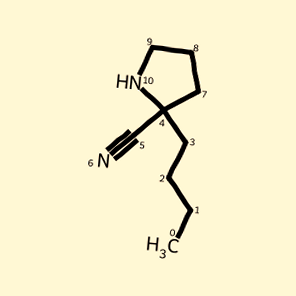 CCCCC1(C#N)CCCN1